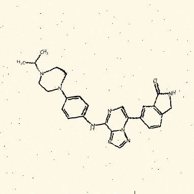 CC(C)N1CCN(c2ccc(Nc3ncc(-c4ccc5c(c4)C(=O)NC5)n4ncnc34)cc2)CC1